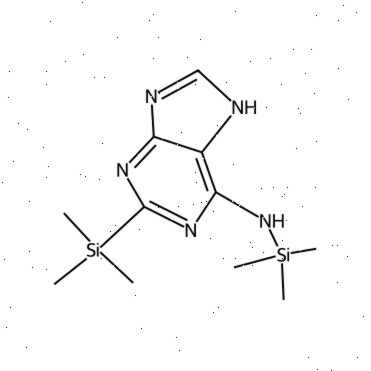 C[Si](C)(C)Nc1nc([Si](C)(C)C)nc2nc[nH]c12